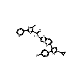 Cc1nc(-c2cccnc2)sc1C(=O)Nc1cn2nc(-c3cn(C4CC4)nc3-c3ccc(F)cc3)ccc2n1